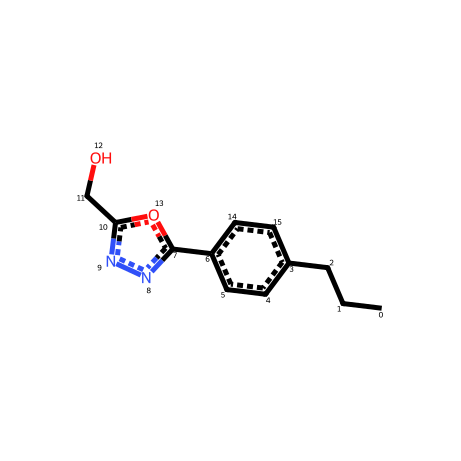 CCCc1ccc(-c2nnc(CO)o2)cc1